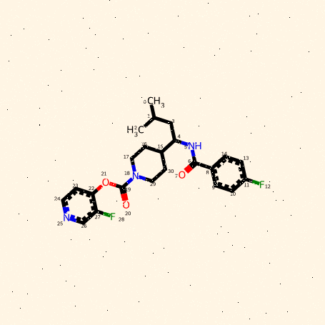 CC(C)CC(NC(=O)c1ccc(F)cc1)C1CCN(C(=O)Oc2ccncc2F)CC1